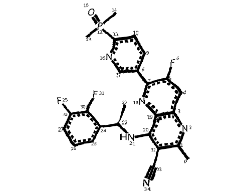 Cc1nc2cc(F)c(-c3ccc(P(C)(C)=O)nc3)nc2c(N[C@H](C)c2cccc(F)c2F)c1C#N